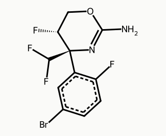 NC1=N[C@@](c2cc(Br)ccc2F)(C(F)F)[C@H](F)CO1